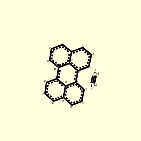 C#C.c1cc2cccc3c4cccc5cccc(c(c1)c23)c54